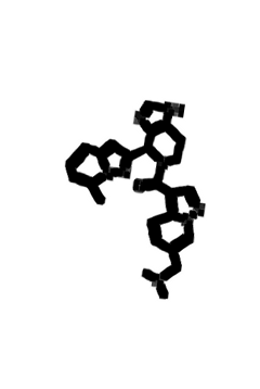 Cc1cccc2cc([C@H]3c4nc[nH]c4CCN3C(=O)c3cnn4cc(CN(C)C)ccc34)nn12